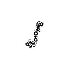 COc1ccccc1C(=O)OOC(=O)OC1CCC(C(C)(C)C2CCC(OC(=O)OOC(=O)c3ccccc3OC)CC2)CC1